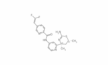 C[C@@H]1C[C@@](C)(c2cc(NC(=O)c3ccc(C=C(F)F)cn3)ccn2)N=C(N)S1